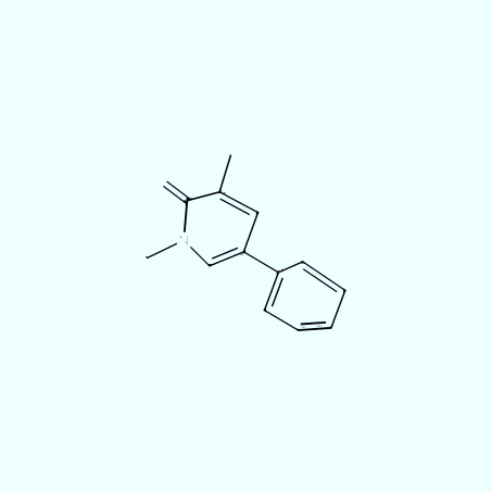 Cc1cc(-c2ccccc2)cn(C)c1=O